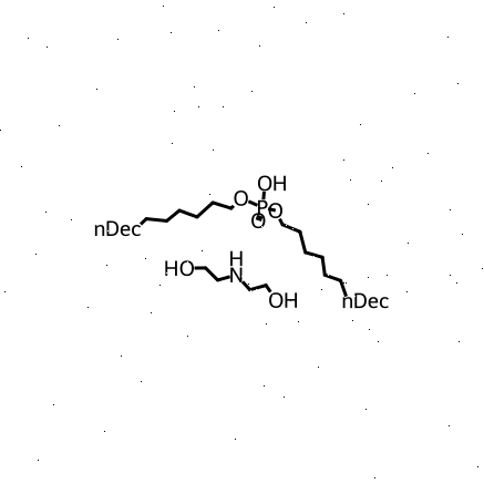 CCCCCCCCCCCCCCCCOP(=O)(O)OCCCCCCCCCCCCCCCC.OCCNCCO